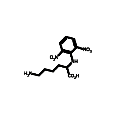 NCCCCC(Nc1c([N+](=O)[O-])cccc1[N+](=O)[O-])C(=O)O